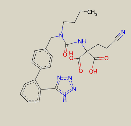 CCCCN(Cc1ccc(-c2ccccc2-c2nnn[nH]2)cc1)C(=O)NC(CCC#N)(C(=O)O)C(=O)O